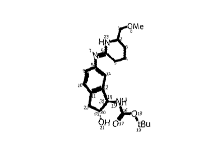 COCC1CCCC(=Nc2ccc3c(c2)[C@@H](NC(=O)OC(C)(C)C)[C@H](O)C3)N1